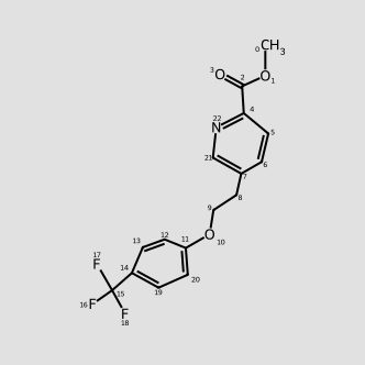 COC(=O)c1ccc(CCOc2ccc(C(F)(F)F)cc2)cn1